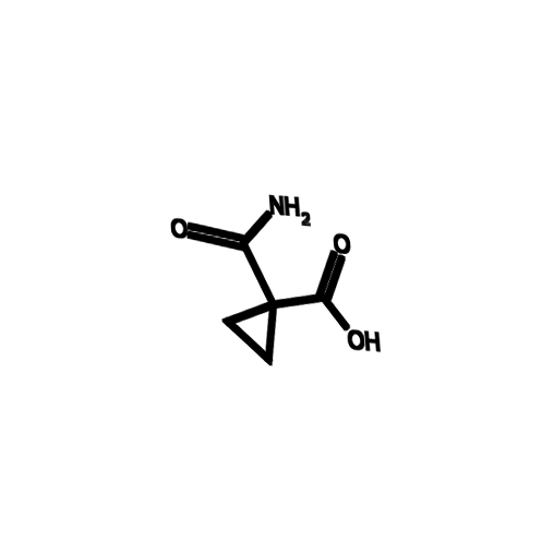 NC(=O)C1(C(=O)O)CC1